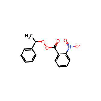 CC(OOC(=O)c1ccccc1[N+](=O)[O-])c1ccccc1